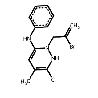 C=C(Br)CN1NC(Cl)=C(C)C=C1Nc1ccccc1